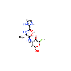 C[C@H](NC(=O)c1ncc[nH]1)C(=O)NC(CC(=O)O)C(=O)CF